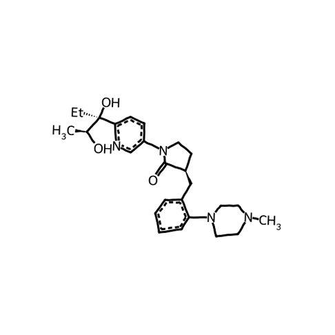 CC[C@](O)(c1ccc(N2CC[C@@H](Cc3ccccc3N3CCN(C)CC3)C2=O)cn1)[C@H](C)O